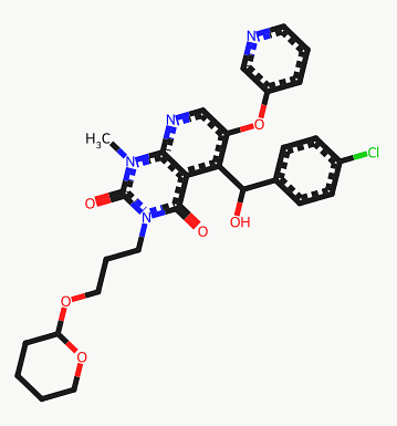 Cn1c(=O)n(CCCOC2CCCCO2)c(=O)c2c(C(O)c3ccc(Cl)cc3)c(Oc3cccnc3)cnc21